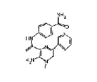 C=C(Nc1ccc(C(N)=O)cc1)C1=C(N)N(C)CC(c2cccnc2)=N1